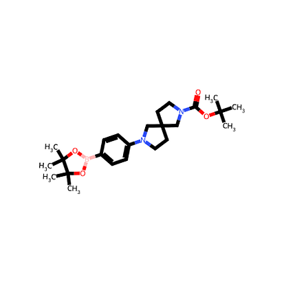 CC(C)(C)OC(=O)N1CCC2(CCN(c3ccc(B4OC(C)(C)C(C)(C)O4)cc3)C2)C1